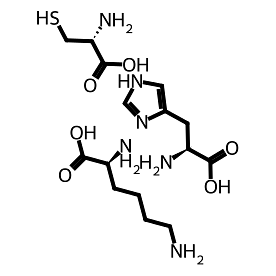 NCCCC[C@H](N)C(=O)O.N[C@@H](CS)C(=O)O.N[C@@H](Cc1c[nH]cn1)C(=O)O